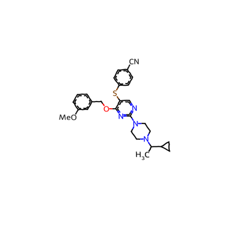 COc1cccc(COc2nc(N3CCN(C(C)C4CC4)CC3)ncc2Sc2ccc(C#N)cc2)c1